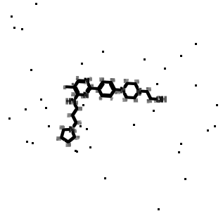 Cc1cnc(-c2ccc(N3CCN(CCO)CC3)cc2)nc1NCCCN1CCCC1